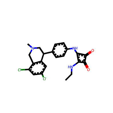 CCNc1c(Nc2ccc(C3CN(C)Cc4c(Cl)cc(Cl)cc43)cc2)c(=O)c1=O